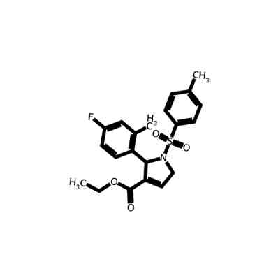 CCOC(=O)C1=CCN(S(=O)(=O)c2ccc(C)cc2)C1c1ccc(F)cc1C